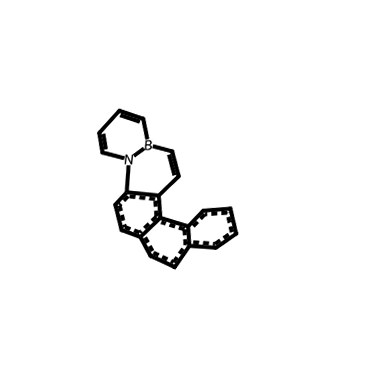 C1=CB2C=Cc3c(ccc4ccc5ccccc5c34)N2C=C1